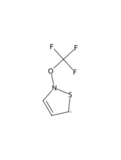 FC(F)(F)ON1C=C[C]S1